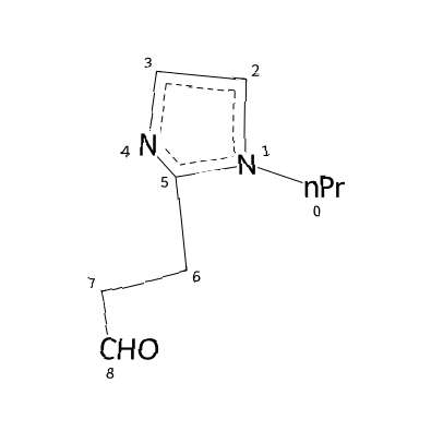 CCCn1ccnc1CCC=O